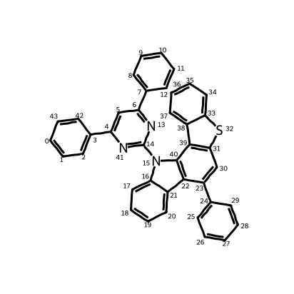 c1ccc(-c2cc(-c3ccccc3)nc(-n3c4ccccc4c4c(-c5ccccc5)cc5sc6ccccc6c5c43)n2)cc1